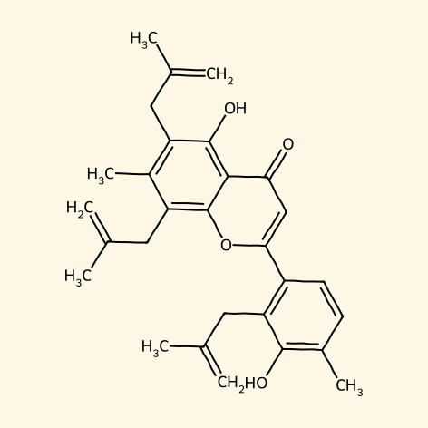 C=C(C)Cc1c(-c2cc(=O)c3c(O)c(CC(=C)C)c(C)c(CC(=C)C)c3o2)ccc(C)c1O